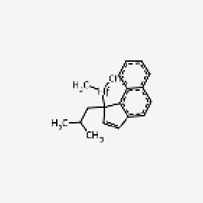 CC(C)C[C]1([Hf]([CH3])[CH3])C=Cc2ccc3ccccc3c21